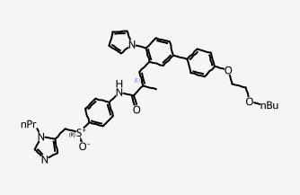 CCCCOCCOc1ccc(-c2ccc(-n3cccc3)c(/C=C(\C)C(=O)Nc3ccc([S@@+]([O-])Cc4cncn4CCC)cc3)c2)cc1